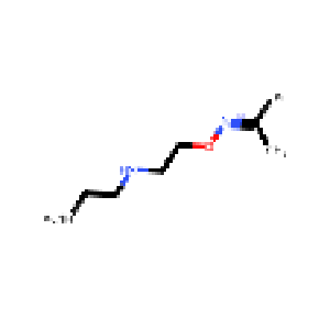 CC(=O)NCCNCCO/N=C(\C)C(C)C